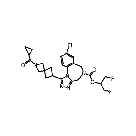 O=C(OC(CF)CF)N1Cc2cc(Cl)ccc2-n2c(nnc2C2CC3(C2)CN(C(=O)C2CC2)C3)C1